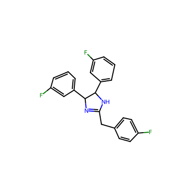 Fc1ccc(CC2=NC(c3cccc(F)c3)C(c3cccc(F)c3)N2)cc1